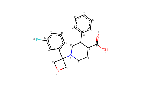 O=C(O)C1CCN(C2(c3cccc(F)c3)COC2)CC1c1ccccc1